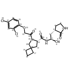 N#C[C@H](C[C@@H]1CCNC1=O)NC(=O)[C@@H]1CC2(CCC2)CN1C(=O)COc1ccc(Cl)cc1Cl